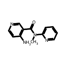 CN(C(=O)c1cnccc1N)c1ccccn1